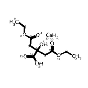 CCOC(=O)CC(O)(CC(=O)OCC)C(=O)O.[CaH2]